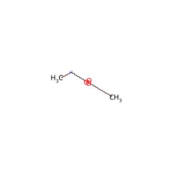 CCCCCCCC/C=C\CCCCCCCCCCCCOC(=O)OCCCCCCCCCCCCCCCCCCCC